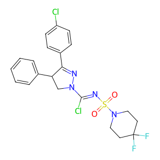 O=S(=O)(/N=C(\Cl)N1CC(c2ccccc2)C(c2ccc(Cl)cc2)=N1)N1CCC(F)(F)CC1